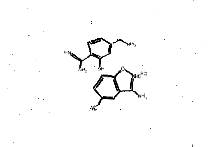 Cl.Cl.N#Cc1ccc2onc(N)c2c1.N=C(N)c1ccc(CN)cc1O